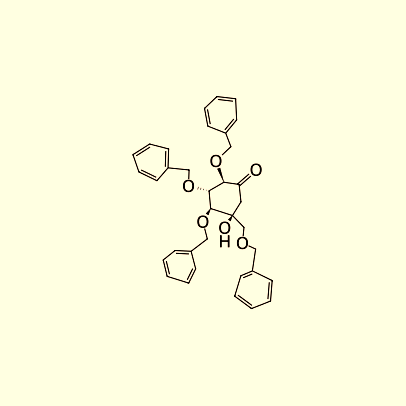 O=C1C[C@](O)(COCc2ccccc2)[C@@H](OCc2ccccc2)[C@H](OCc2ccccc2)[C@H]1OCc1ccccc1